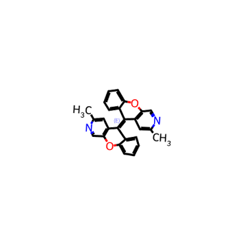 Cc1cc2c(cn1)Oc1ccccc1/C2=C1/c2ccccc2Oc2cnc(C)cc21